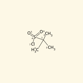 CC(C)(C)S(=O)(=O)Cl